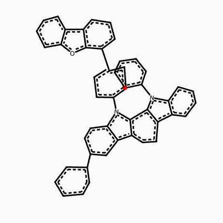 c1ccc(-c2ccc3c(c2)c2ccc4c5ccccc5n(-c5ccccc5)c4c2n3-c2ccc(-c3cccc4c3oc3ccccc34)cc2)cc1